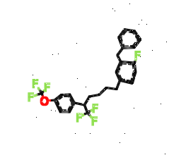 Fc1ccc(CCCCC(c2ccc(OC(F)(F)F)cc2)C(F)(F)F)cc1Cc1ccccc1